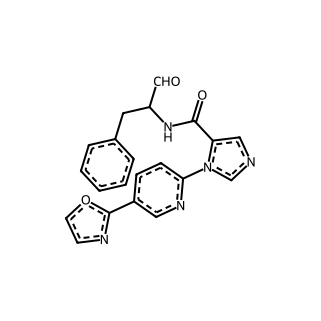 O=CC(Cc1ccccc1)NC(=O)c1cncn1-c1ccc(-c2ncco2)cn1